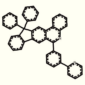 c1ccc(C2(c3ccccc3)c3ccccc3-c3cc4c(-c5cccc(-c6ccccn6)c5)nc5ccccc5c4cc32)cc1